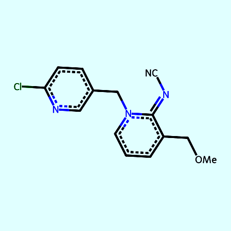 COCc1cccn(Cc2ccc(Cl)nc2)/c1=N\C#N